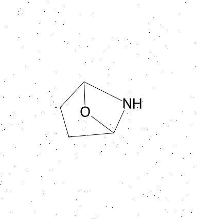 [CH]1CC2NC1O2